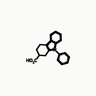 O=C(O)C1CCc2c(n(-c3ccccc3)c3ccccc23)C1